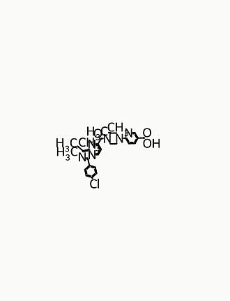 CC(C)(C)c1nc(-c2ccc(Cl)cc2)n2ccc(C(=O)N3CCN(c4ccc(C(=O)O)cn4)CC3(C)C)nc12